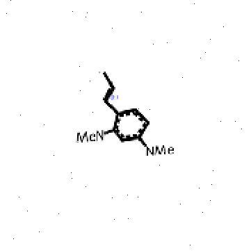 [CH2]/C=C/c1ccc(NC)cc1NC